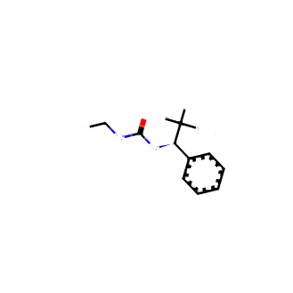 CCNC(=O)N[C@H](c1ccccc1)C(C)(C)C